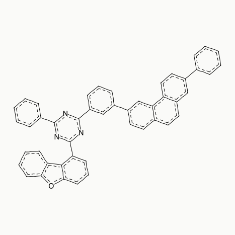 c1ccc(-c2ccc3c(ccc4ccc(-c5cccc(-c6nc(-c7ccccc7)nc(-c7cccc8oc9ccccc9c78)n6)c5)cc43)c2)cc1